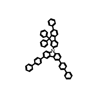 c1ccc(-c2ccc(-c3ccc4c(c3)c3cc(-c5ccc(-c6ccccc6)cc5)ccc3n4-c3ccc4c(c3)C(c3ccccc3)(c3ccccc3)c3cc(-c5ccccc5)ccc3-4)cc2)cc1